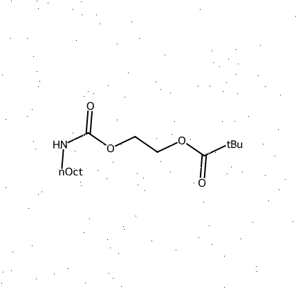 CCCCCCCCNC(=O)OCCOC(=O)C(C)(C)C